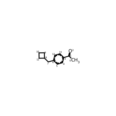 CC(=O)c1ccc(CC2CCC2)cc1